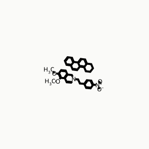 COc1ccc2c(c1OC)C=CN(CCc1ccc([N+](=O)[O-])cc1)C2.c1ccc2c(c1)ccc1c3c(ccc12)CCCC3